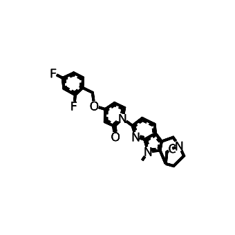 Cn1c2c(c3ccc(-n4ccc(OCc5ccc(F)cc5F)cc4=O)nc31)CN1CCC2CC1